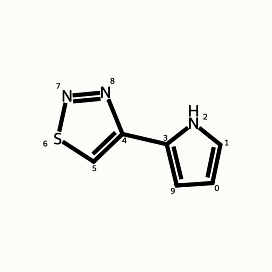 c1c[nH]c(-c2csnn2)c1